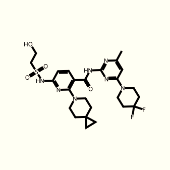 Cc1cc(N2CCC(F)(F)CC2)nc(NC(=O)c2ccc(NS(=O)(=O)CCO)nc2N2CCC3(CC2)CC3)n1